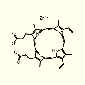 C=Cc1c(C)c2cc3[nH]c(cc4nc(cc5nc(cc1[nH]2)C(C)=C5CCC(=O)[O-])C(CCC(=O)[O-])=C4C)c(C)c3C=C.[Zn+2]